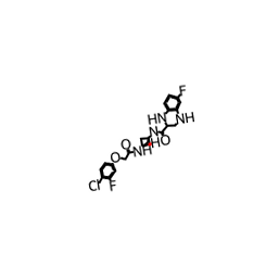 O=C(COc1ccc(Cl)c(F)c1)NC12CC(NC(=O)C3CNc4cc(F)ccc4N3)(C1)C2